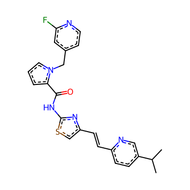 CC(C)c1ccc(C=Cc2csc(NC(=O)c3cccn3Cc3ccnc(F)c3)n2)nc1